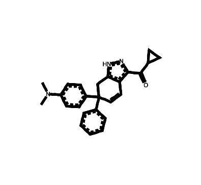 CN(C)c1ccc(C2(c3ccccc3)C=Cc3c(C(=O)C4CC4)n[nH]c3C2)cc1